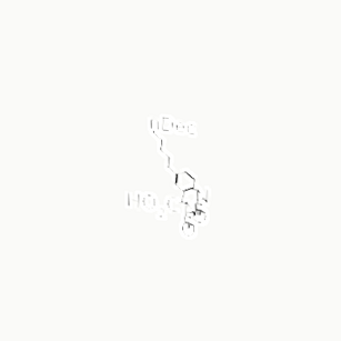 CCCCCCCCCCCCCCCc1ccc(N=C=O)c(C(N=C=O)C(=O)O)c1